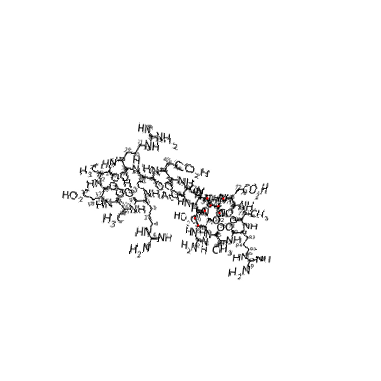 CC(=O)N[C@@H](CCCNC(=N)N)C(=O)N[C@@H](C)C(=O)N[C@@H](CC(=O)O)C(=O)N[C@@H](C)C(=O)N[C@@H](CCCNC(=N)N)C(=O)N[C@@H](C)C(=O)N[C@@H](CC(=O)O)C(=O)N[C@@H](C)C(=O)N[C@@H](CCCNC(=N)N)C(=O)N[C@@H](C)C(=O)N[C@@H](CC(=O)O)C(=O)N[C@@H](C)C(=O)N[C@@H](CCCNC(=N)N)C(=O)N[C@@H](C)C(=O)N[C@@H](CC(=O)O)C(=O)N[C@@H](C)C(N)=O